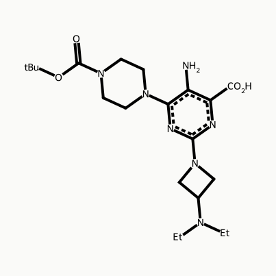 CCN(CC)C1CN(c2nc(C(=O)O)c(N)c(N3CCN(C(=O)OC(C)(C)C)CC3)n2)C1